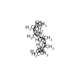 CC(C)NCC(C)(C)COCC(C)(C)CNC(=O)CC(C)(C)COCC(C)(C)CNC(=O)OC(C)(C)C